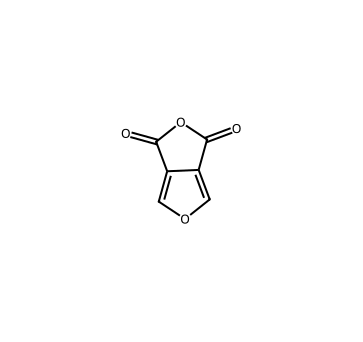 O=C1OC(=O)c2cocc21